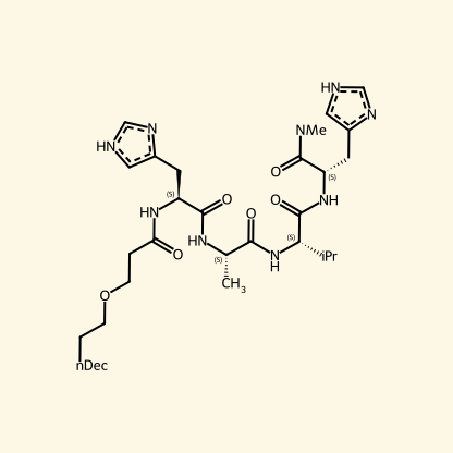 CCCCCCCCCCCCOCCC(=O)N[C@@H](Cc1c[nH]cn1)C(=O)N[C@@H](C)C(=O)N[C@H](C(=O)N[C@@H](Cc1c[nH]cn1)C(=O)NC)C(C)C